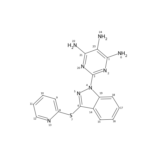 Nc1nc(-n2nc(Sc3ccccn3)c3ccccc32)nc(N)c1N